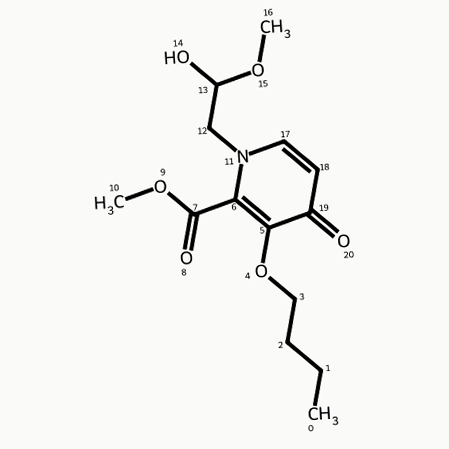 CCCCOc1c(C(=O)OC)n(CC(O)OC)ccc1=O